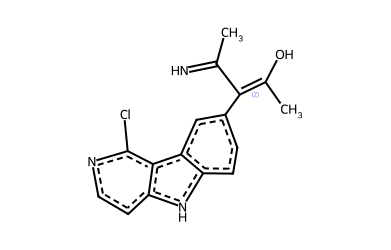 CC(=N)/C(=C(/C)O)c1ccc2[nH]c3ccnc(Cl)c3c2c1